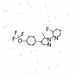 Cc1c(-c2ccc(OC(F)(F)F)cc2)cnn1-c1ncccc1F